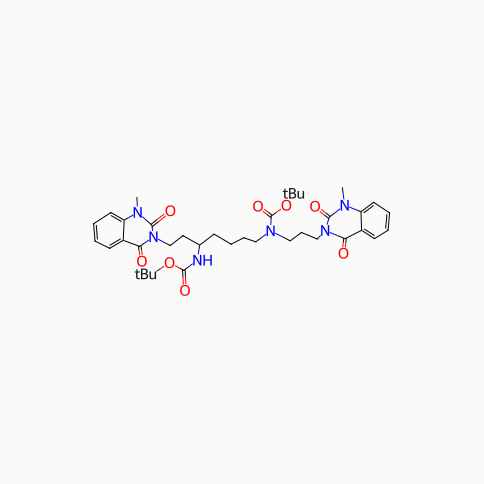 Cn1c(=O)n(CCCN(CCCCC(CCn2c(=O)c3ccccc3n(C)c2=O)NC(=O)OC(C)(C)C)C(=O)OC(C)(C)C)c(=O)c2ccccc21